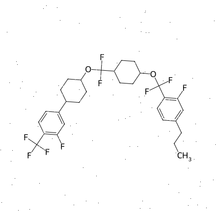 CCCc1ccc(C(F)(F)OC2CCC(C(F)(F)OC3CCC(c4ccc(C(F)(F)F)c(F)c4)CC3)CC2)c(F)c1